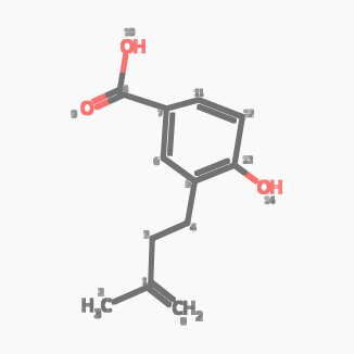 C=C(C)CCc1cc(C(=O)O)ccc1O